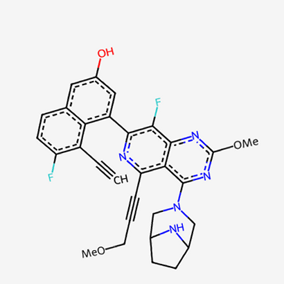 C#Cc1c(F)ccc2cc(O)cc(-c3nc(C#CCOC)c4c(N5CC6CCC(C5)N6)nc(OC)nc4c3F)c12